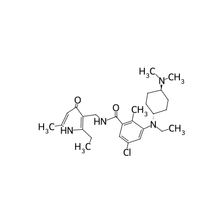 CCc1[nH]c(C)cc(=O)c1CNC(=O)c1cc(Cl)cc(N(CC)[C@H]2CC[C@H](N(C)C)CC2)c1C